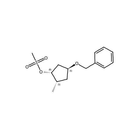 C[C@H]1C[C@H](OCc2ccccc2)C[C@H]1OS(C)(=O)=O